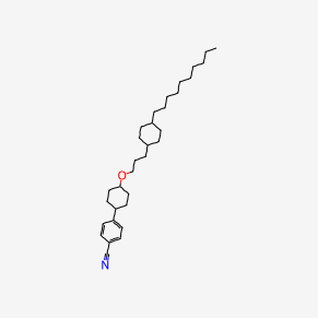 CCCCCCCCCCC1CCC(CCCOC2CCC(c3ccc(C#N)cc3)CC2)CC1